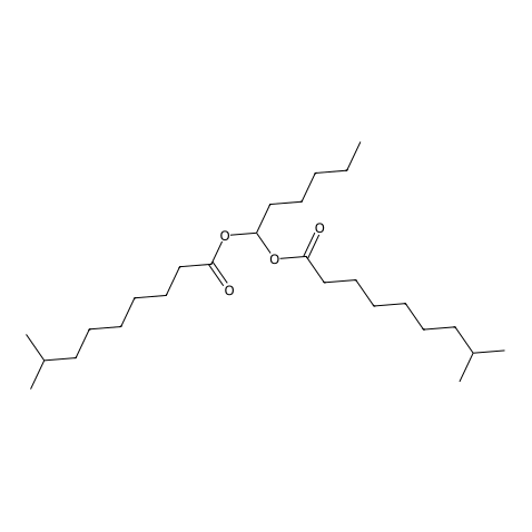 CCCCCC(OC(=O)CCCCCCC(C)C)OC(=O)CCCCCCC(C)C